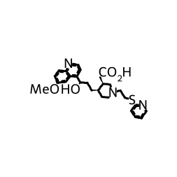 COc1ccc2nccc([C@@H](O)CC[C@@H]3CCN(CCSc4ccccn4)C[C@@H]3CC(=O)O)c2c1